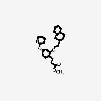 COC(=O)CCc1ccc(Oc2ccccn2)cc1OCCc1ccc2ccccc2c1